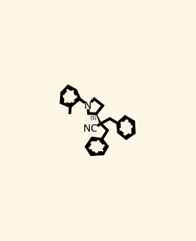 Cc1ccccc1N1CC[C@@H](C(C#N)(Cc2ccccc2)Cc2ccccc2)C1